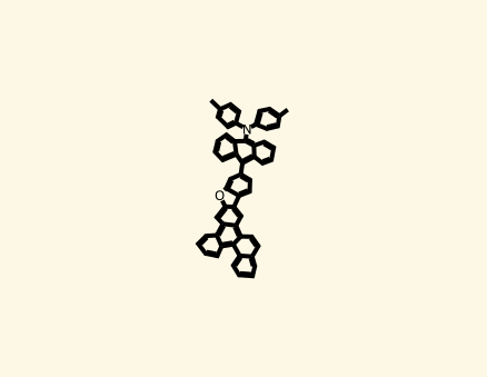 Cc1ccc(N(c2ccc(C)cc2)c2c3ccccc3c(-c3ccc4c(c3)oc3cc5c6ccccc6c6c7ccccc7ccc6c5cc34)c3ccccc23)cc1